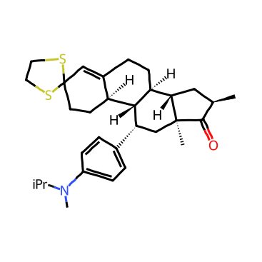 CC(C)N(C)c1ccc([C@H]2C[C@]3(C)C(=O)[C@H](C)C[C@H]3[C@@H]3CCC4=CC5(CC[C@@H]4[C@H]32)SCCS5)cc1